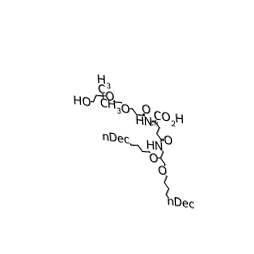 CCCCCCCCCCCCCCOCC(CNC(=O)CC[C@H](NC(=O)CCOCCOC(C)(C)CCO)C(=O)O)OCCCCCCCCCCCCCC